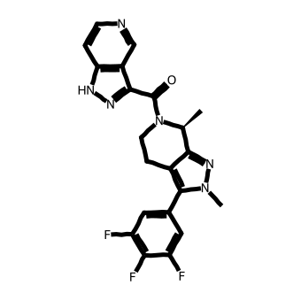 C[C@H]1c2nn(C)c(-c3cc(F)c(F)c(F)c3)c2CCN1C(=O)c1n[nH]c2ccncc12